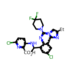 CCc1cn2c(N3CCC(F)(F)CC3)nc3c(C(C)Nc4ccc(Cl)nc4C(=O)O)cc(Cl)cc3c2n1